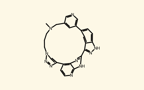 CN1CCCn2cc(nn2)-c2ccnc3[nH]c(nc23)-c2n[nH]c3ccc(cc23)-c2cncc(c2)C1